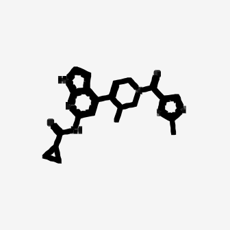 Cc1ncc(C(=O)N2CC=C(c3cc(NC(=O)C4CC4)nc4[nH]ccc34)C(C)C2)s1